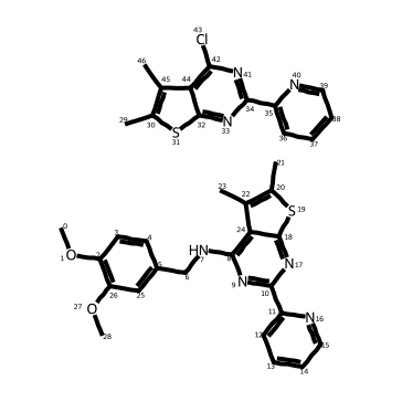 COc1ccc(CNc2nc(-c3ccccn3)nc3sc(C)c(C)c23)cc1OC.Cc1sc2nc(-c3ccccn3)nc(Cl)c2c1C